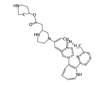 C=c1ccc(C2=C(c3cccc(C)n3)NC=CC=C2)c/c1=C/C(=C\C)N1CCNC(CC(=O)OC2CCNCC2)C1